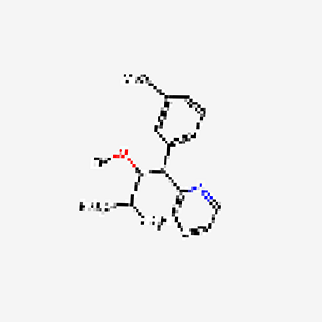 CCOC(=O)C(C(=O)OCC)C(OCC)C(c1cccc(OC)c1)c1ccccn1